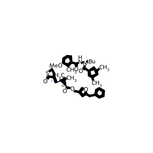 CC1(C)[C@H](/C=C2\CCSC2=O)[C@@H]1C(=O)OCc1coc(Cc2ccccc2)c1.COc1cccc(C(=O)NN(C(=O)c2cc(C)cc(C)c2)C(C)(C)C)c1C